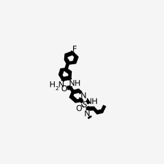 C=N/C(=C\C=C/C)S(=N)(=O)c1ccc(C(=O)Nc2cc(-c3ccc(F)cc3)ccc2N)cn1